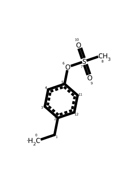 [CH2]Cc1ccc(OS(C)(=O)=O)cc1